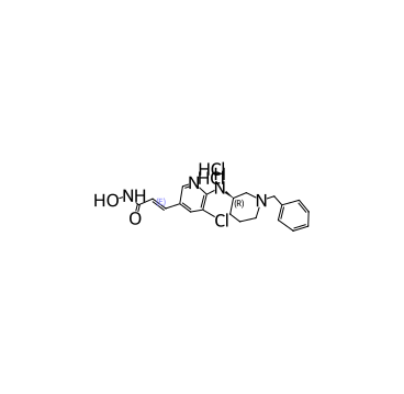 Cl.Cl.O=C(/C=C/c1cnc(N[C@@H]2CCCN(Cc3ccccc3)C2)c(Cl)c1)NO